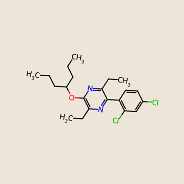 CCCC(CCC)Oc1nc(CC)c(-c2ccc(Cl)cc2Cl)nc1CC